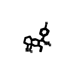 C=CC1=C(N(N)c2ccc(F)cc2)C=C2CCCC(N)[C@@]2(C)C1